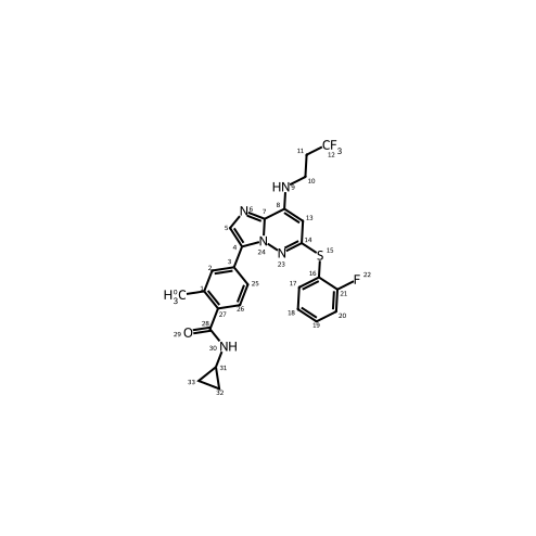 Cc1cc(-c2cnc3c(NCCC(F)(F)F)cc(Sc4ccccc4F)nn23)ccc1C(=O)NC1CC1